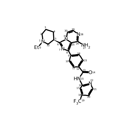 CCN1CCC[C@@H](c2nc(-c3ccc(C(=O)Nc4cc(C(F)(F)F)ccn4)cc3)c3c(N)nccn23)C1